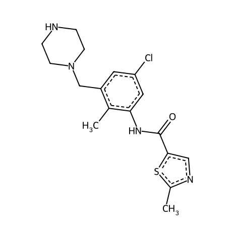 Cc1ncc(C(=O)Nc2cc(Cl)cc(CN3CCNCC3)c2C)s1